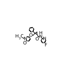 CCn1cc(OCC2(c3ccccc3)CC2C(=O)Nc2ccc(F)cn2)ccc1=O